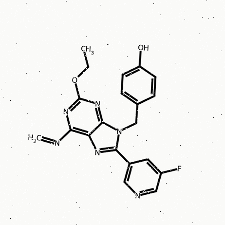 C=Nc1nc(OCC)nc2c1nc(-c1cncc(F)c1)n2Cc1ccc(O)cc1